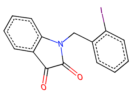 O=C1C(=O)N(Cc2ccccc2I)c2ccccc21